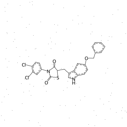 O=C1SC(Cc2c[nH]c3ccc(OCc4ccccc4)cc23)C(=O)N1c1ccc(Cl)c(Cl)c1